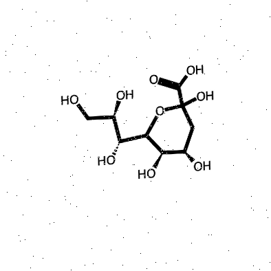 O=C(O)C1(O)C[C@@H](O)[C@@H](O)C([C@H](O)[C@H](O)CO)O1